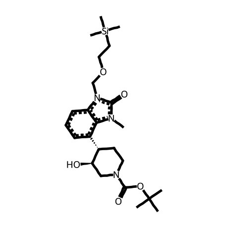 Cn1c(=O)n(COCC[Si](C)(C)C)c2cccc([C@@H]3CCN(C(=O)OC(C)(C)C)C[C@H]3O)c21